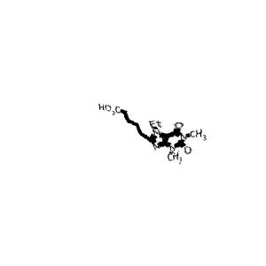 CCn1c(CCCCC(=O)O)nc2c1c(=O)n(C)c(=O)n2C